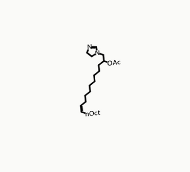 CCCCCCCC/C=C\CCCCCCCCC(CN1C=NCC1)OC(C)=O